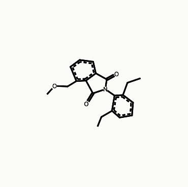 CCc1cccc(CC)c1N1C(=O)c2cccc(COC)c2C1=O